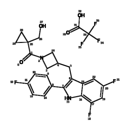 O=C(N1CC(Cc2c(-c3ccc(F)cc3)[nH]c3c(F)cc(F)cc23)C1)C1(CO)CC1.O=C(O)C(F)(F)F